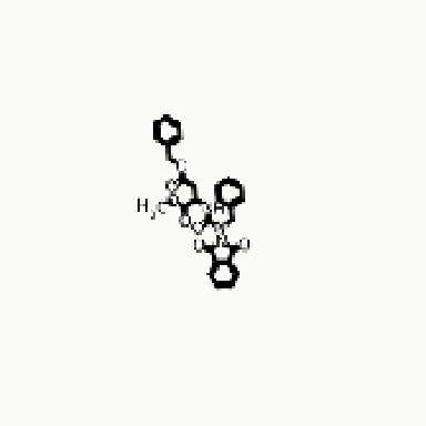 COC(=O)C(CC(=O)OCc1ccccc1)NC(=O)N(Cc1ccccc1)N1C(=O)c2ccccc2C1=O